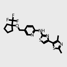 Cc1nc(C)c(-c2csc(Nc3ccc(COC4(C(F)(F)F)CCCC4)cn3)n2)s1